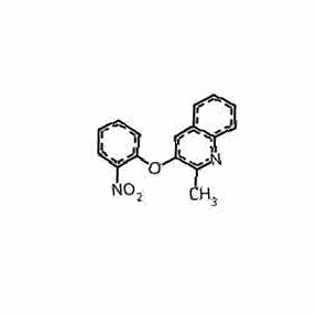 Cc1nc2ccccc2cc1Oc1ccccc1[N+](=O)[O-]